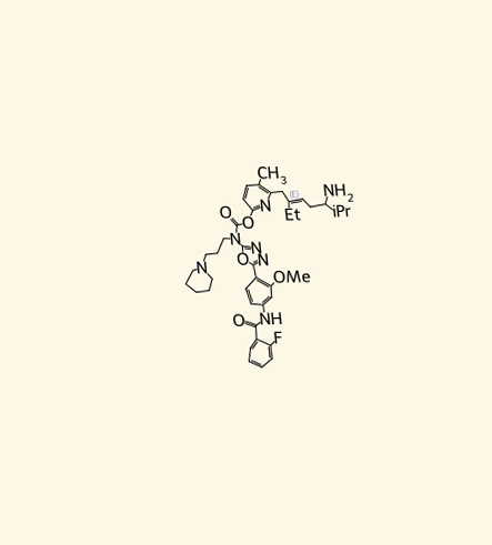 CC/C(=C\CC(N)C(C)C)Cc1nc(OC(=O)N(CCCN2CCCCC2)c2nnc(-c3ccc(NC(=O)c4ccccc4F)cc3OC)o2)ccc1C